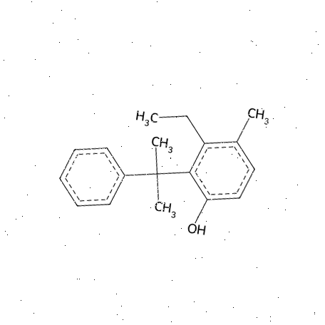 CCc1c(C)ccc(O)c1C(C)(C)c1ccccc1